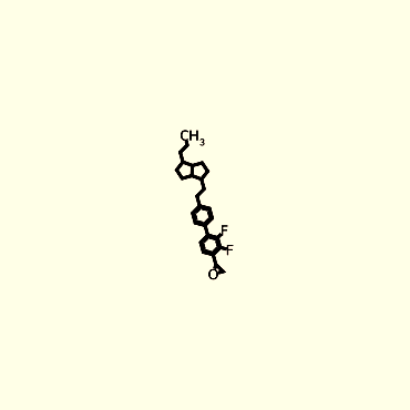 CCCC1CCC2C(CCc3ccc(-c4ccc(C5CO5)c(F)c4F)cc3)CCC12